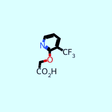 O=C(O)COc1ncccc1C(F)(F)F